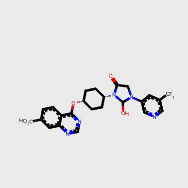 O=C(O)c1ccc2c(O[C@H]3CC[C@@H](N4C(=O)CN(c5cncc(C(F)(F)F)c5)C4O)CC3)ncnc2c1